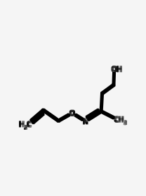 C=CCON=C(C)CCO